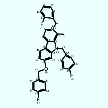 Cc1c2c(cc[n+]1Cc1ccccc1F)c1ccc(OCc3ccc(F)cc3)cc1n2Cc1ccc(F)cc1